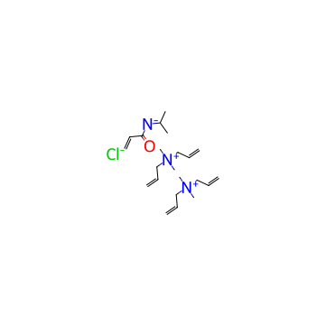 C=CC(=O)[N-]C(C)C.C=CC[N+](C)(C)CC=C.C=CC[N+](C)(C)CC=C.[Cl-]